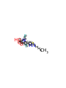 CCCCCCCNSc1ccc(-c2cc3c(cc2F)c(=O)c(C(=O)O)cn3CCF)cc1